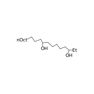 CCCCCCCCCCCC(O)CCCCCC(O)CC